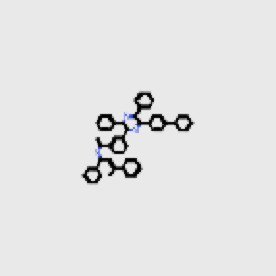 C=C(/N=C(\C=C(/C)c1ccccc1)c1ccccc1)c1cccc(-c2nc(-c3ccc(-c4ccccc4)cc3)c(-c3ccccc3)nc2-c2ccccc2)c1